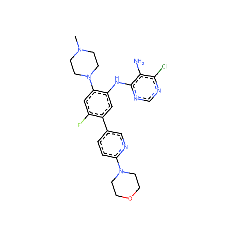 CN1CCN(c2cc(F)c(-c3ccc(N4CCOCC4)nc3)cc2Nc2ncnc(Cl)c2N)CC1